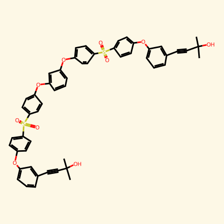 CC(C)(O)C#Cc1cccc(Oc2ccc(S(=O)(=O)c3ccc(Oc4cccc(Oc5ccc(S(=O)(=O)c6ccc(Oc7cccc(C#CC(C)(C)O)c7)cc6)cc5)c4)cc3)cc2)c1